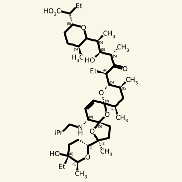 CCC(C(=O)O)[C@H]1CC[C@H](C)C([C@@H](C)[C@H](O)[C@H](C)C(=O)[C@H](CC)[C@H]2O[C@]3(C=C[C@@H](NCC(C)C)[C@]4(CC[C@@](C)([C@H]5CC[C@](O)(CC)[C@H](C)O5)O4)O3)[C@H](C)C[C@@H]2C)O1